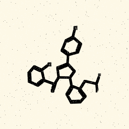 O=C(c1ccccc1Cl)C1C=C(c2ccc(Cl)cc2)CC1c1ccccc1CC(F)F